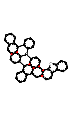 c1ccc(N(c2ccc(-c3cccc4c3oc3ccccc34)cc2)c2ccccc2-c2cc3ccccc3c3ccccc23)c(-c2cccc3ccccc23)c1